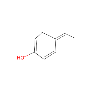 CC=C1C=CC(O)=CC1